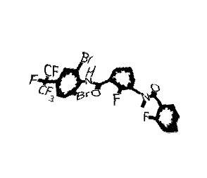 CN(C(=O)c1ccccc1F)c1cccc(C(=O)Nc2c(Br)cc(C(F)(C(F)(F)F)C(F)(F)F)cc2Br)c1F